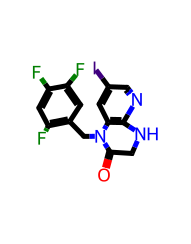 O=C1CNc2ncc(I)cc2N1Cc1cc(F)c(F)cc1F